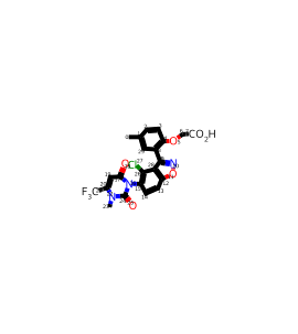 Cc1ccc(OCC(=O)O)c(-c2noc3ccc(-n4c(=O)cc(C(F)(F)F)n(C)c4=O)c(Cl)c23)c1